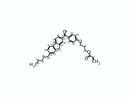 C=CC(=O)OCCCOc1ccc(C(=O)c2ccc3c(c2)Cc2cc(CCCCC)ccc2-3)cc1